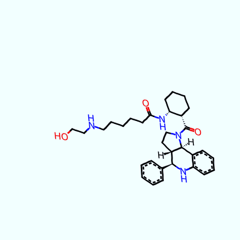 O=C(CCCCCNCCO)N[C@@H]1CCCC[C@@H]1C(=O)N1CC[C@H]2[C@H](c3ccccc3)Nc3ccccc3[C@@H]21